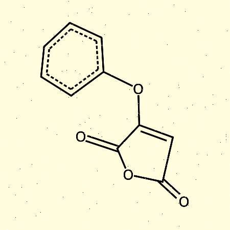 O=C1C=C(Oc2ccccc2)C(=O)O1